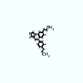 C=CCc1ccc(N(Cn2cncn2)c2ccc(CC=C)cc2)cc1